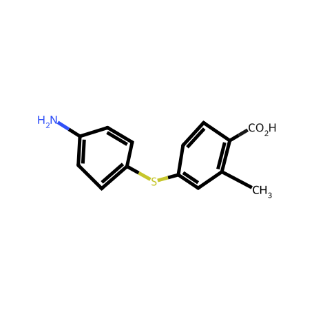 Cc1cc(Sc2ccc(N)cc2)ccc1C(=O)O